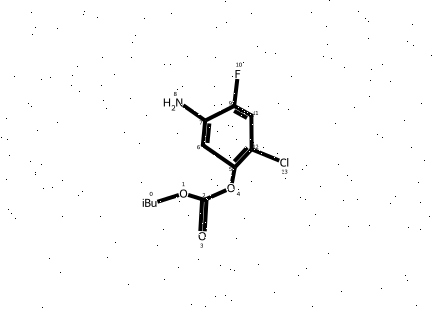 CCC(C)OC(=O)Oc1cc(N)c(F)cc1Cl